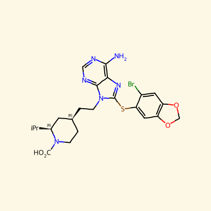 CC(C)[C@H]1C[C@@H](CCn2c(Sc3cc4c(cc3Br)OCO4)nc3c(N)ncnc32)CCN1C(=O)O